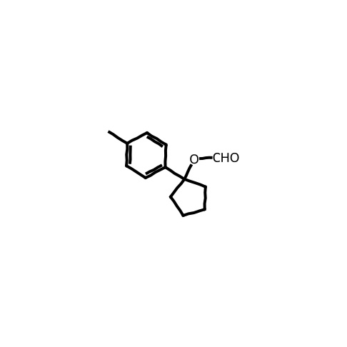 Cc1ccc(C2(OC=O)CCCC2)cc1